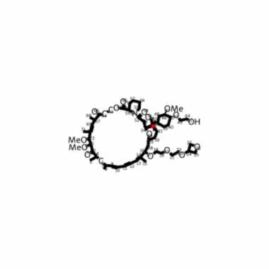 COC1C(=O)C(C)CC(C)C=CC=CC=C(C)C(OCCOCCOC2COC2)CC2CCC(C)C(C(C)(C)[C@H]3CC[C@@H](OCCO)[C@H](OC)C3)(O2)C(=O)C(=O)N2CCCCC2C(=O)OCCC(=O)C(C)C=C(C)C1OC